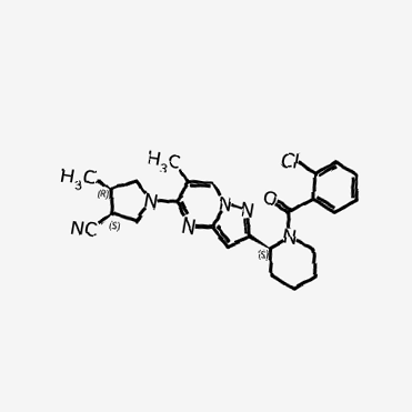 Cc1cn2nc([C@@H]3CCCCN3C(=O)c3ccccc3Cl)cc2nc1N1C[C@@H](C#N)[C@@H](C)C1